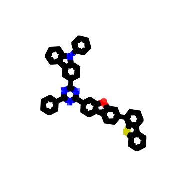 c1ccc(-c2nc(-c3ccc4c(c3)oc3cc(-c5cccc6c5sc5ccccc56)ccc34)nc(-c3ccc4c(c3)c3ccccc3n4-c3ccccc3)n2)cc1